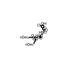 CCCCCCCCCCCCCC(=O)OCC(COP(=O)(O)OCCNC(=O)c1cc2cc(Cl)c(O)cc2oc1=O)OC(=O)CCCCCCCCCCCCC